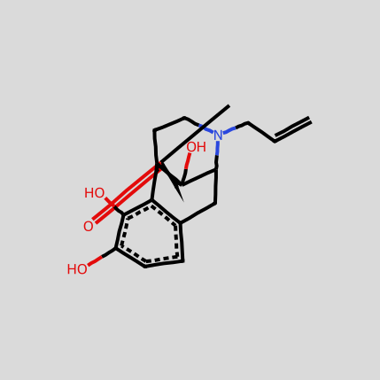 C=CCN1CCC23CC(=O)CCC2(O)C1Cc1ccc(O)c(O)c13